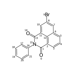 O=C1c2cccc3cc(Br)cc(c23)C(=O)N1c1ccccc1